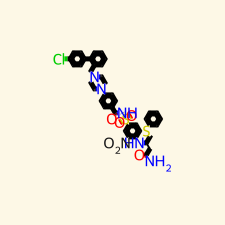 NC(=O)C[C@H](CSc1ccccc1)Nc1ccc(S(=O)(=O)NC(=O)c2ccc(N3CCN(Cc4ccccc4-c4ccc(Cl)cc4)CC3)cc2)cc1[N+](=O)[O-]